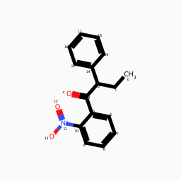 CCC(C(=O)c1ccccc1[N+](=O)[O-])c1ccccc1